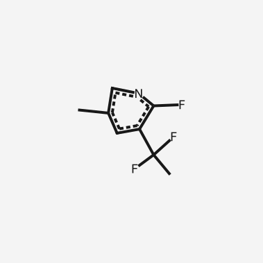 Cc1cnc(F)c(C(C)(F)F)c1